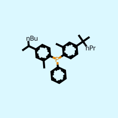 CCCCC(C)c1ccc(P(c2ccccc2)c2ccc(C(C)(C)CCC)cc2C)c(C)c1